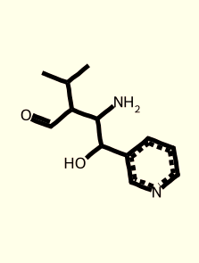 CC(C)C(C=O)C(N)C(O)c1cccnc1